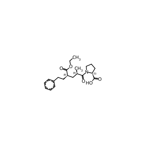 CCOC(=O)[C@H](CCc1ccccc1)C[C@@H](C)C(=O)N1CCC[C@H]1C(=O)O